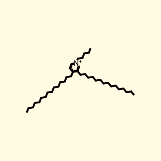 CCCCCCCCCCCCCCCc1cc[n+](CCCCC)cc1CCCCCCCCCCCCCCC